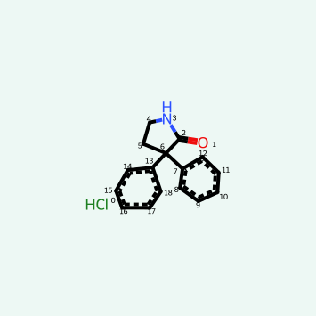 Cl.O=C1NCCC1(c1ccccc1)c1ccccc1